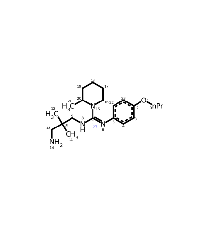 CCCOc1ccc(/N=C(/NCC(C)(C)CN)N2CCCCC2C)cc1